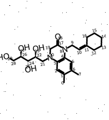 Cc1cc2c(cc1C)N(CC=C1CCCCC1)C(=O)CN2C[C@H](O)[C@H](O)[C@H](O)CO